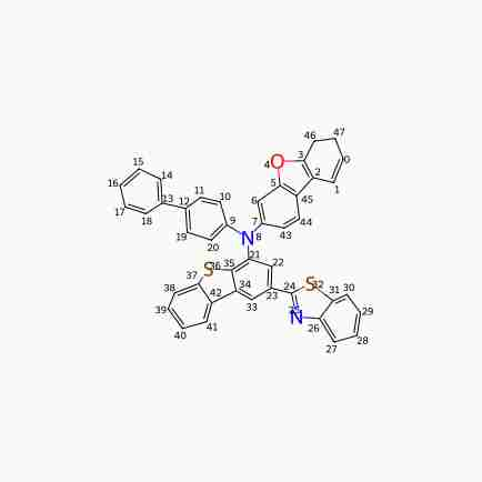 C1=Cc2c(oc3cc(N(c4ccc(-c5ccccc5)cc4)c4cc(-c5nc6ccccc6s5)cc5c4sc4ccccc45)ccc23)CC1